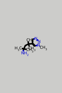 CN1C=C(C(C)(C)CC(C)(C)N)CN=N1